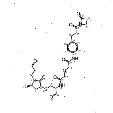 O=CCCN1C(=O)CC(SCC(C=O)NC(=O)COCC(=O)Nc2ccc(CCC(=O)N3CCC3=O)cc2)C1=O